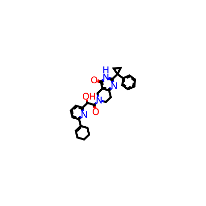 O=C(C(O)c1cccc(C2=CCCCC2)n1)N1CCc2nc(C3(c4ccccc4)CC3)[nH]c(=O)c2C1